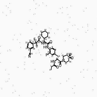 CCC(=O)N[C@H](Cc1ccc(NC(=O)[C@@H](NC(=O)C(F)(F)c2cccc(C#N)c2)C2CCCCC2)c(F)c1)C(=O)N1CCS(=O)(=O)CC1